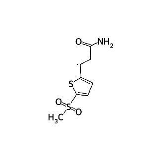 CS(=O)(=O)c1ccc([CH]CC(N)=O)s1